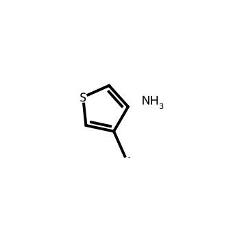 N.[CH2]c1ccsc1